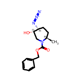 C[C@@H]1CC[C@@H](N=[N+]=[N-])[C@@H](O)CN1C(=O)OCc1ccccc1